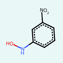 O=[N+]([O-])c1cccc(NO)c1